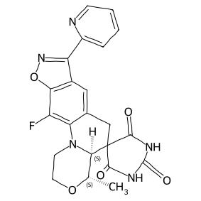 C[C@@H]1OCCN2c3c(cc4c(-c5ccccn5)noc4c3F)CC3(C(=O)NC(=O)NC3=O)[C@@H]12